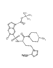 CC1CCN(C(=O)C(CCn2cccc2C#N)NS(=O)(=O)c2cc3c(ccn3C(=O)OC(C)(C)C)cc2Cl)CC1